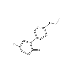 O=c1ccc(F)cn1-c1ccc(OCF)cc1